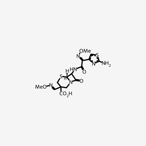 CON=CC1(C(=O)O)CS[C@@H]2C(NC(=O)C(=NOC)c3csc(N)n3)C(=O)N2C1